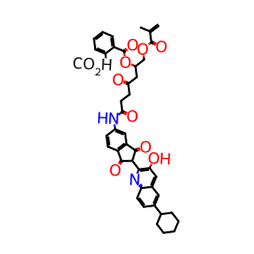 C=C(C)C(=O)OCC(CC(=O)CCC(=O)Nc1ccc2c(c1)C(=O)C(c1nc3ccc(C4CCCCC4)cc3cc1O)C2=O)OC(=O)c1ccccc1C(=O)O